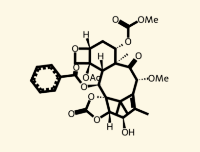 COC(=O)O[C@H]1C[C@H]2OC[C@@]2(OC(C)=O)[C@H]2[C@H](OC(=O)c3ccccc3)[C@]34OC(=O)O[C@H]3[C@H](O)C(C)=C([C@@H](OC)C(=O)[C@]12C)C4(C)C